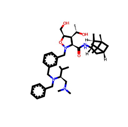 CC(C)[C@@H](CN(C)C)N(Cc1ccccc1)Cc1cccc(CN2O[C@@H](CO)[C@@H]([C@H](C)O)[C@H]2C(=O)N[C@H]2C[C@H]3C[C@@](C)([C@@H]2C)C3(C)C)c1